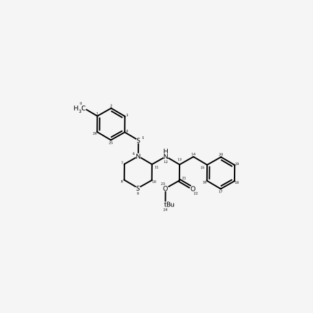 Cc1ccc(SN2CCSCC2NC(Cc2ccccc2)C(=O)OC(C)(C)C)cc1